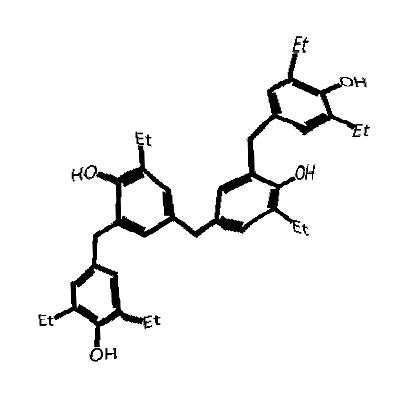 CCc1cc(Cc2cc(Cc3cc(CC)c(O)c(Cc4cc(CC)c(O)c(CC)c4)c3)cc(CC)c2O)cc(CC)c1O